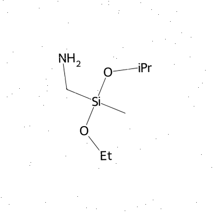 CCO[Si](C)(CN)OC(C)C